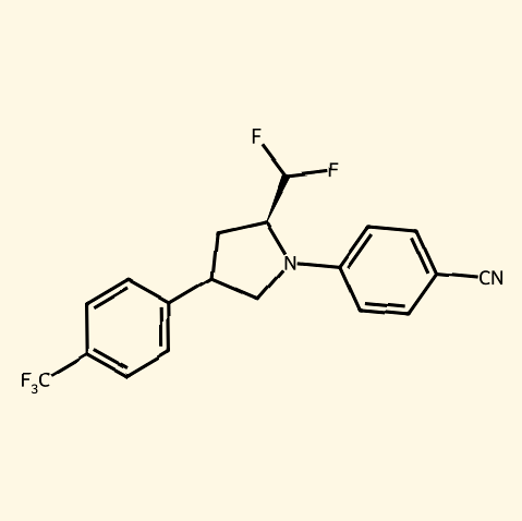 N#Cc1ccc(N2CC(c3ccc(C(F)(F)F)cc3)C[C@H]2C(F)F)cc1